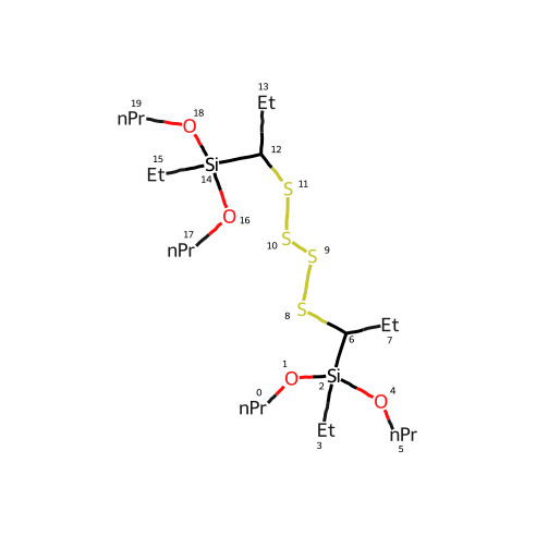 CCCO[Si](CC)(OCCC)C(CC)SSSSC(CC)[Si](CC)(OCCC)OCCC